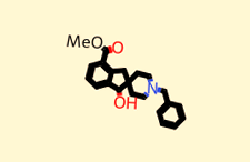 COC(=O)c1cccc2c1CC1(CCN(Cc3ccccc3)CC1)C2O